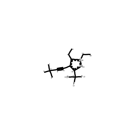 CCc1c(C#CC(C)(C)C)c(C(F)(F)F)nn1CC